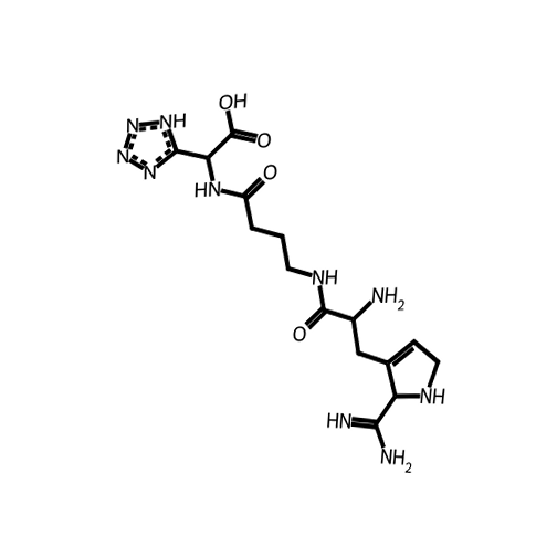 N=C(N)C1NCC=C1CC(N)C(=O)NCCCC(=O)NC(C(=O)O)c1nnn[nH]1